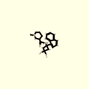 CN1CCCC(C(=O)NC2(c3cccc4ccccc34)CC(F)(F)C2)C1